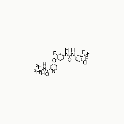 [2H]C([2H])([2H])NC(=O)c1cc(Oc2ccc(NC(=O)Nc3ccc(Cl)c(C(F)(F)F)c3)cc2F)ccn1